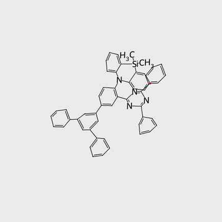 C[Si]1(C)c2ccccc2N(c2ccc(-c3cc(-c4ccccc4)cc(-c4ccccc4)c3)cc2-c2nc(-c3ccccc3)nc(-c3ccccc3)n2)c2ccccc21